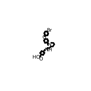 O=C(O)c1ccc(CNCCC2CCCCN2Cc2ccc(Oc3ccc(Br)cc3)cc2)cc1